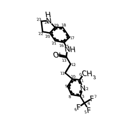 Cc1nc(C(F)(F)F)ccc1CCC(=O)Nc1ccc2c(c1)CCN2